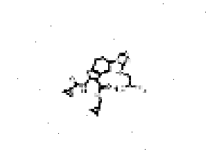 CC(C)CNc1nncn1C1CCc2sc(NC(=O)C3CC3)c(C(=O)NCC3CC3)c2C1